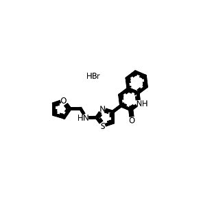 Br.O=c1[nH]c2ccccc2cc1-c1csc(NCc2ccco2)n1